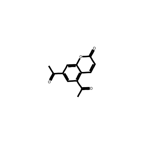 CC(=O)c1cc(C(C)=O)c2ccc(=O)oc2c1